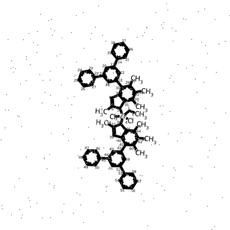 C[CH2][Zr]([Cl])([Cl])([CH]1C(C)=Cc2c(-c3cc(-c4ccccc4)cc(-c4ccccc4)c3)c(C)c(C)c(C)c21)[CH]1C(C)=Cc2c(-c3cc(-c4ccccc4)cc(-c4ccccc4)c3)c(C)c(C)c(C)c21